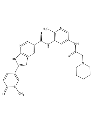 Cc1ncc(NC(=O)CN2CCCCC2)cc1NC(=O)c1cnc2[nH]c(-c3ccc(=O)n(C)c3)cc2c1